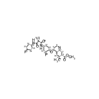 COC(=O)c1cc2nccc(Oc3ccc(NC(=O)C4(C(=O)Nc5ccc(F)cc5)CC4)cc3F)c2cc1C